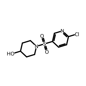 O=S(=O)(c1ccc(Cl)nc1)N1CCC(O)CC1